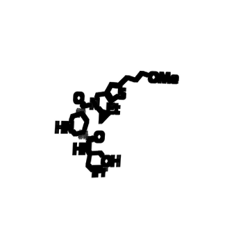 CCc1sc(CCCOC)cc1CN(C(=O)[C@H]1CNC[C@@H](C(=O)NC(CO)CC(C)C)C1)C1CC1